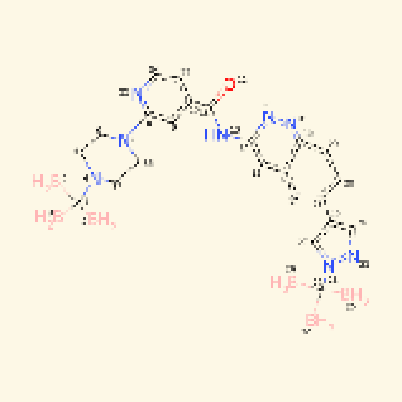 BC(B)(B)N1CCN(c2cc(C(=O)Nc3cc4cc(-c5cnn(C(B)(B)B)c5)ccc4nn3)ccn2)CC1